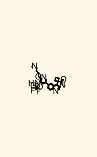 CN(C)CCCOc1ncc(-c2ccc3ncc4c(c3c2)C2(CCC2)C(=O)N4C)cc1NS(=O)(=O)C(F)F